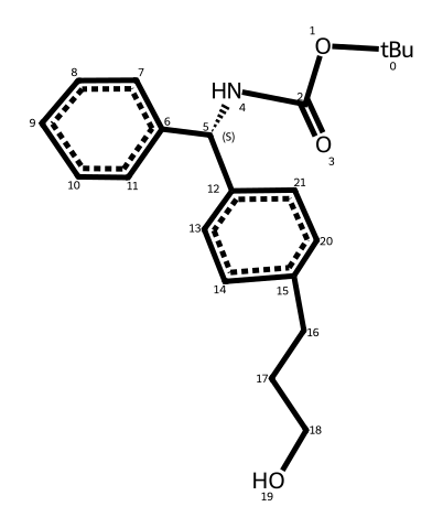 CC(C)(C)OC(=O)N[C@@H](c1ccccc1)c1ccc(CCCO)cc1